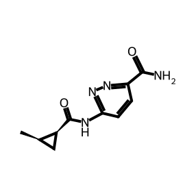 C[C@@H]1C[C@@H]1C(=O)Nc1ccc(C(N)=O)nn1